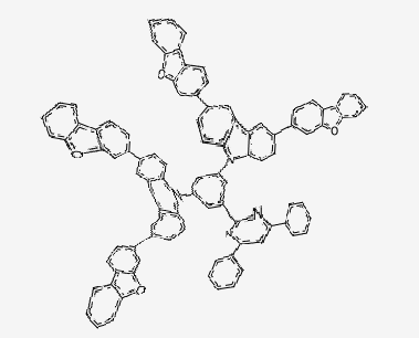 c1ccc(-c2cc(-c3ccccc3)nc(-c3cc(-n4c5ccc(-c6ccc7c(c6)oc6ccccc67)cc5c5cc(-c6ccc7c(c6)oc6ccccc67)ccc54)cc(-n4c5ccc(-c6ccc7c(c6)oc6ccccc67)cc5c5cc(-c6ccc7c(c6)oc6ccccc67)ccc54)c3)n2)cc1